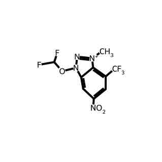 C[n+]1nn(OC(F)F)c2cc([N+](=O)[O-])cc(C(F)(F)F)c21